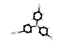 Cl.Clc1cc[c]([Ge]([c]2ccc(Cl)cc2)[c]2ccc(Cl)cc2)cc1